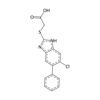 O=C(O)CSc1nc2cc(-c3ccccc3)c(Cl)cc2[nH]1